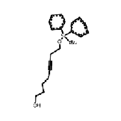 CC(C)(C)[Si](OCCC#CCCCCO)(c1ccccc1)c1ccccc1